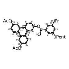 CCCC(C)c1cc(C(=O)Oc2ccc3c4cc(OC(C)=O)ccc4c4cc(OC(C)=O)ccc4c3c2)cc(C(C)C)c1